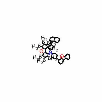 Bc1c(B)c(B)c2c(oc3c(B)c(B)c(B)c(N(c4ccc(-c5cccc6ccccc56)cc4)c4ccc(-c5cccc6c5oc5ccccc56)cc4)c32)c1B